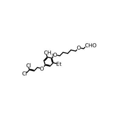 CCc1cc(OCC=C(Cl)Cl)cc(C)c1OCCCCCOCC=O